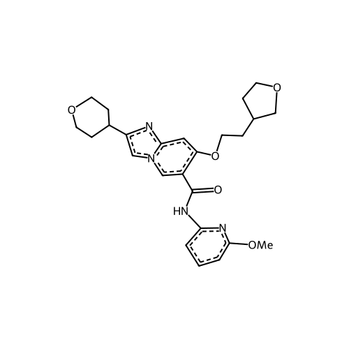 COc1cccc(NC(=O)c2cn3cc(C4CCOCC4)nc3cc2OCCC2CCOC2)n1